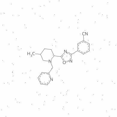 CC1CCC(c2nc(-c3cccc(C#N)c3)no2)N(Cc2ccccn2)C1